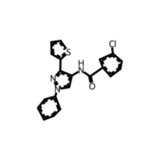 O=C(Nc1cn(-c2ccccc2)nc1-c1cccs1)c1cccc(Cl)c1